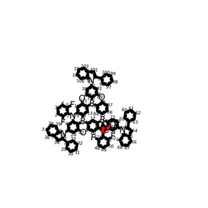 Fc1cccc(F)c1N1c2cc3c(cc2B2c4cc5c(cc4Oc4cc(-n6c(-c7ccccc7)cc7ccccc76)cc1c42)N(c1c(F)cccc1F)c1cc(-n2c(-c4ccccc4)cc4ccccc42)cc2c1B5c1ccccc1O2)B1c2ccccc2Oc2cc(-n4c(-c5ccccc5)cc5ccccc54)cc(c21)O3